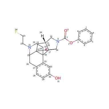 O=C(Oc1ccccc1)N1C[C@H]2CC34CCC1C2C31CCN(CCF)C4Cc2ccc(O)cc21